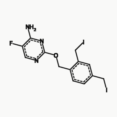 Nc1nc(OCc2ccc(CI)cc2CI)ncc1F